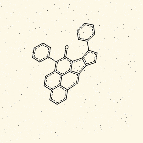 O=c1c(-c2ccccc2)c2ccc3cccc4cc5c6ccc(-c7ccccc7)c6c1c5c2c34